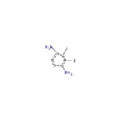 Nc1ccc(N)c(I)c1I